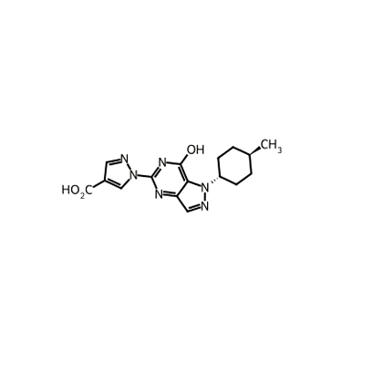 C[C@H]1CC[C@H](n2ncc3nc(-n4cc(C(=O)O)cn4)nc(O)c32)CC1